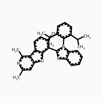 Cc1cc2oc3c(-c4nc5ccccc5n4-c4c(C(C)C)cccc4C(C)C)c(C)ccc3c2c(C)n1